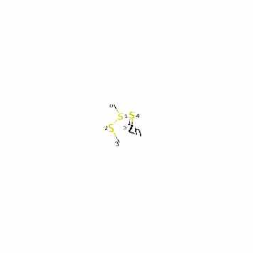 CSSC.[S]=[Zn]